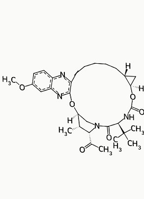 COc1ccc2nc3c(nc2c1)O[C@H]1CN(C(=O)[C@H](C(C)(C)C)NC(=O)O[C@@H]2C[C@H]2CCCCC32CC2)[C@H](C(C)=O)[C@@H]1C